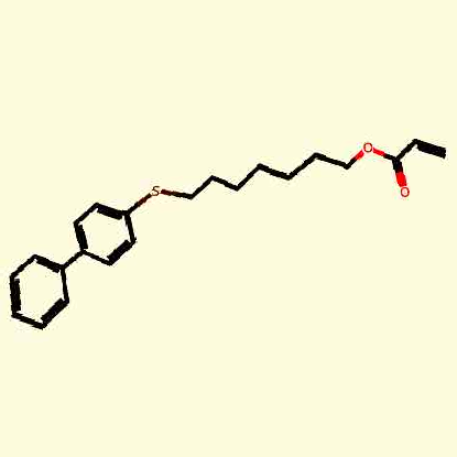 C=CC(=O)OCCCCCCCSc1ccc(-c2ccccc2)cc1